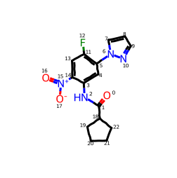 O=C(Nc1cc(-n2cccn2)c(F)cc1[N+](=O)[O-])C1CCCC1